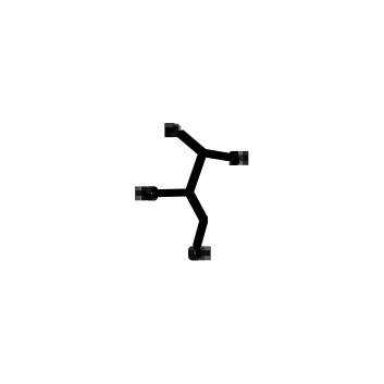 CCC(S)C(O)CO